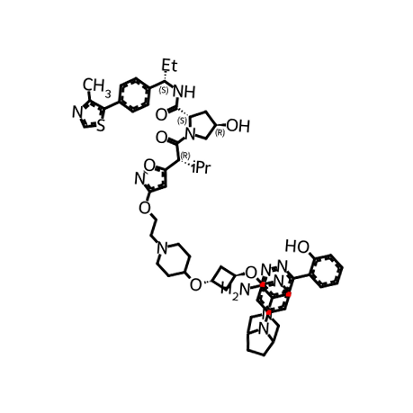 CC[C@H](NC(=O)[C@@H]1C[C@@H](O)CN1C(=O)[C@@H](c1cc(OCCN2CCC(O[C@H]3C[C@H](Oc4cc(N5C6CCC5CN(c5cc(-c7ccccc7O)nnc5N)C6)ccn4)C3)CC2)no1)C(C)C)c1ccc(-c2scnc2C)cc1